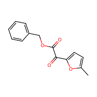 Cc1ccc(C(=O)C(=O)OCc2ccccc2)o1